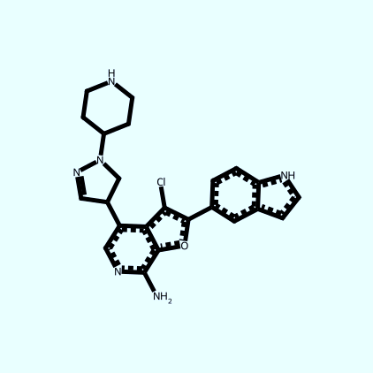 Nc1ncc(C2C=NN(C3CCNCC3)C2)c2c(Cl)c(-c3ccc4[nH]ccc4c3)oc12